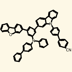 N#Cc1ccc(-c2ccc(-n3c4ccccc4c4ccc(-c5cc(-c6ccc7c(c6)oc6ccccc67)cc(N(c6ccccc6)c6ccc(-c7ccccc7)cc6)c5)cc43)cc2)cc1